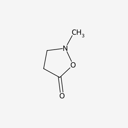 CN1CCC(=O)O1